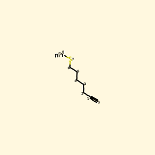 C#CCCCCCSCC[CH2]